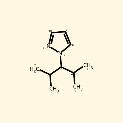 CC(C)C(C(C)C)n1cccn1